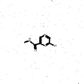 CNC(=O)c1cncc(S)n1